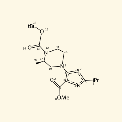 COC(=O)c1nc(C(C)C)sc1N1CCN(C(=O)OC(C)(C)C)[C@H](C)C1